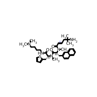 CN(C)CCCCNC(=O)[C@@H](Cc1cccs1)N(C)C(=O)[C@@H](Cc1ccc2ccccc2c1)N(C)C(=O)/C=C/CC(C)(C)N